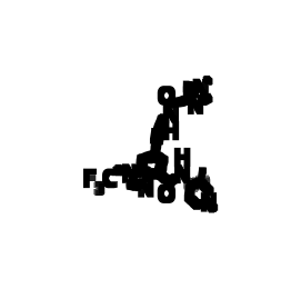 C[C@H]1CN(C)CC[C@@H]1NC(=O)c1cc(C#CCNC(=O)c2cn(C)cn2)cc2c1ncn2CC(F)(F)F